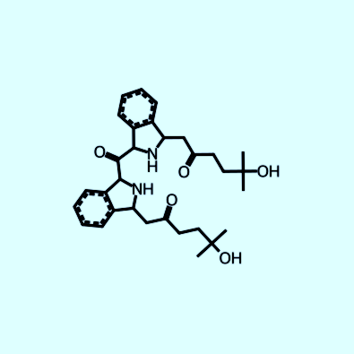 CC(C)(O)CCC(=O)CC1NC(C(=O)C2NC(CC(=O)CCC(C)(C)O)c3ccccc32)c2ccccc21